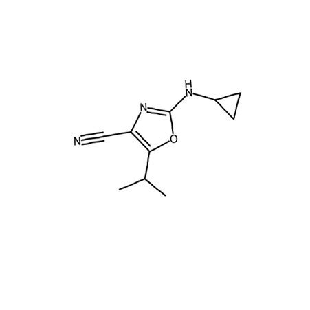 CC(C)c1oc(NC2CC2)nc1C#N